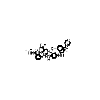 CNC(=O)c1cccc(C)c1Nc1nc(Nc2ccc(NC3CCC4(C(=O)N5CCOCC5)C=CCC3C4)cc2OC)ncc1C(F)(F)F